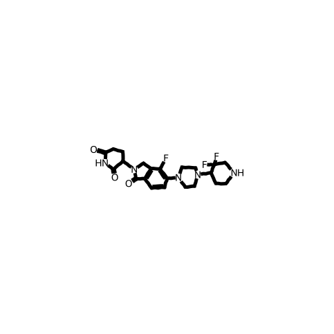 O=C1CCC(N2Cc3c(ccc(N4CCN(C5CCNCC5(F)F)CC4)c3F)C2=O)C(=O)N1